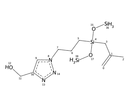 C=C(C)C[Si](CCCn1cc(CO)nn1)(O[SiH3])O[SiH3]